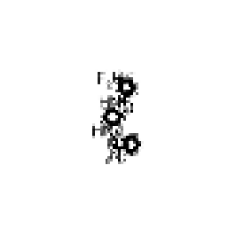 CN(C)c1nc(N[C@H]2CC[C@@H](NC(=O)c3cccc(C(F)(F)F)c3)CC2)nc2c1CCCC2